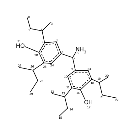 CCC(C)c1cc(C(N)c2cc(C(C)CC)c(O)c(C(C)CC)c2)cc(C(C)CC)c1O